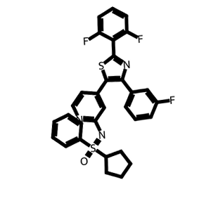 O=S(=Nc1cc(-c2sc(-c3c(F)cccc3F)nc2-c2cccc(F)c2)ccn1)(c1ccccc1)C1CCCC1